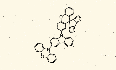 c1ccc2c(c1)Oc1ccccc1N2c1ccc2c(c1)c1ccccc1n2-c1ccc2c(c1)C1(c3ccccc3O2)c2cccnc2-c2ncccc21